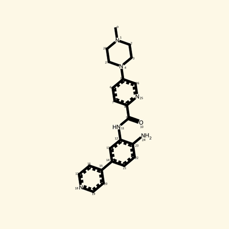 CN1CCN(c2ccc(C(=O)Nc3cc(-c4ccncc4)ccc3N)nc2)CC1